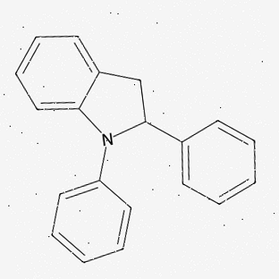 c1ccc(C2Cc3ccccc3N2c2ccccc2)cc1